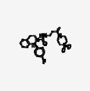 C=C(CCNC(=O)N1CCc2ccccc2[C@@H]1c1ccc(F)cc1)N1CCS(=O)(=O)CC1